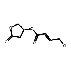 O=C(/C=C/CCl)O[C@@H]1COC(=O)C1